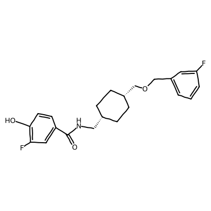 O=C(NC[C@H]1CC[C@@H](COCc2cccc(F)c2)CC1)c1ccc(O)c(F)c1